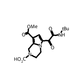 COC(=O)c1cc(C(=O)C(=O)NC(C)(C)C)n2c1CN(C(=O)O)CC2